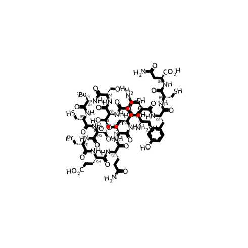 CC[C@H](C)[C@H](NC(=O)[C@H](CO)NC(=O)[C@@H](NC(=O)[C@H](CS)NC(=O)[C@@H](N)CS)[C@@H](C)O)C(=O)N[C@@H](CS)C(=O)N[C@@H](CO)C(=O)N[C@@H](CC(C)C)C(=O)N[C@@H](CCC(=O)O)C(=O)N[C@@H](CCC(N)=O)C(=O)N[C@@H](CC(C)C)C(=O)N[C@@H](CCC(=O)O)C(=O)N[C@@H](CC(N)=O)C(=O)N[C@@H](Cc1ccc(O)cc1)C(=O)N[C@@H](CS)C(=O)N[C@@H](CC(N)=O)C(=O)O